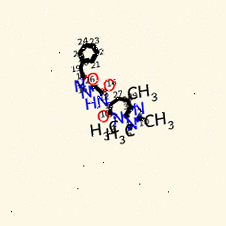 Cc1nc2c(n1C)N(C)C(=O)[C@@H](NC(=O)c1nnc(Cc3ccccc3)o1)C[C@@H]2C